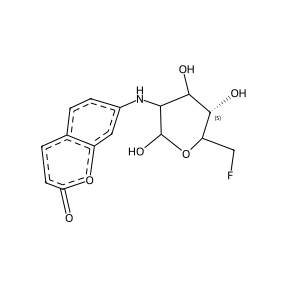 O=c1ccc2ccc(NC3C(O)OC(CF)[C@@H](O)C3O)cc2o1